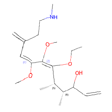 C=CC(O)[C@H](C)[C@H](C)/C(OCC)=C(OC)\C(=C/C(=C)CCNC)OC